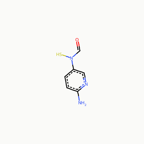 Nc1ccc(N(S)C=O)cn1